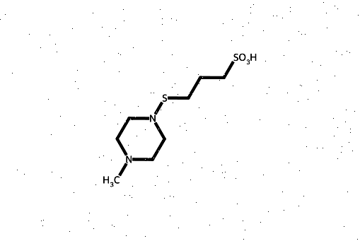 CN1CCN(SCCCS(=O)(=O)O)CC1